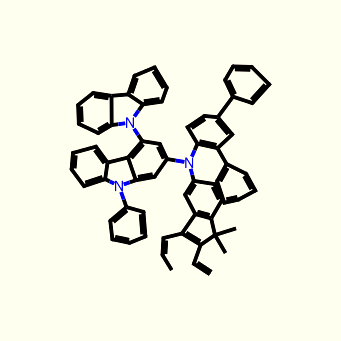 C=CC1=C(/C=C\C)c2cc(N(c3cc(-n4c5ccccc5c5ccccc54)c4c5ccccc5n(-c5ccccc5)c4c3)c3ccc(-c4ccccc4)cc3-c3ccccc3)ccc2C1(C)C